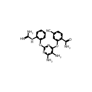 N#Cc1ccc(C(N)=O)c(Oc2nc(Oc3ccccc3NC(=N)N)nc(N)c2N)c1